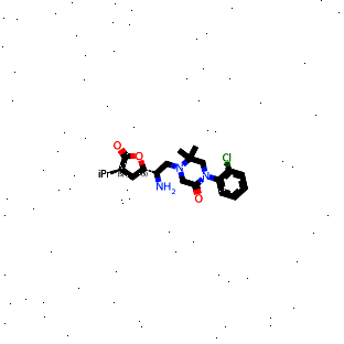 CC(C)[C@@H]1C[C@@H](C(N)CN2CC(=O)N(c3ccccc3Cl)CC2(C)C)OC1=O